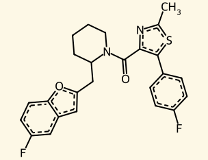 Cc1nc(C(=O)N2CCCCC2Cc2cc3cc(F)ccc3o2)c(-c2ccc(F)cc2)s1